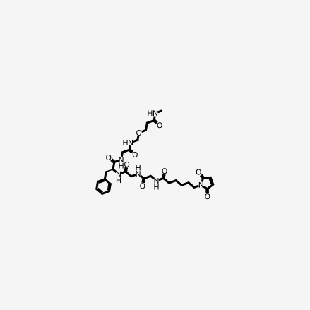 CNC(=O)CCOCNC(=O)CNC(=O)[C@H](Cc1ccccc1)NC(=O)CNC(=O)CNC(=O)CCCCCN1C(=O)C=CC1=O